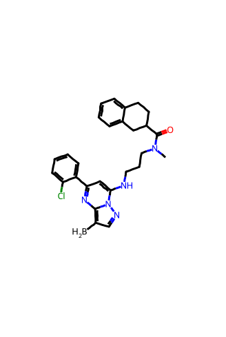 Bc1cnn2c(NCCCN(C)C(=O)C3CCc4ccccc4C3)cc(-c3ccccc3Cl)nc12